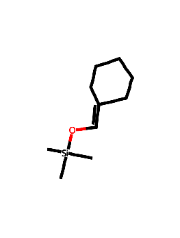 C[Si](C)(C)OC=C1CCCCC1